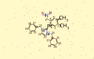 Cc1ccc(CN(I)I)cc1C.[Pt]=[c]1n(Cc2ccccc2)ccn1Cc1ccccc1